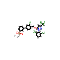 CS(=O)(=O)c1cccc(-c2ccc(COc3cc(C(F)(F)F)nn3C3=C(Cl)C=CCC3Cl)c(F)c2)c1